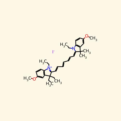 CCN1\C(=C/C=C/C=C/C=C/C2=[N+](CC)c3ccc(OC)cc3C2(CC)CC)C(C)(C)c2cc(OC)ccc21.[I-]